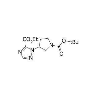 CCOC(=O)c1ncnn1C1CCN(C(=O)OC(C)(C)C)C1